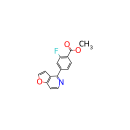 COC(=O)c1ccc(-c2nccc3occc23)cc1F